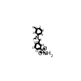 Cc1cccc(N(C)Cc2cccc(S(N)(=O)=O)c2)c1